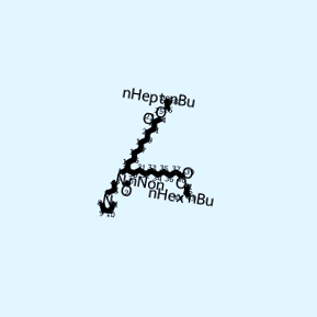 CCCCCCCCCC(=O)N(CCCN1CCCC1)CC(CCCCCCCCC(=O)COCC(CCCC)CCCCCCC)CCCCCCCCC(=O)OCC(CCCC)CCCCCC